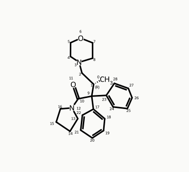 C[C@@H](CN1CCOCC1)C(C(=O)N1CCCC1)(c1ccccc1)c1ccccc1